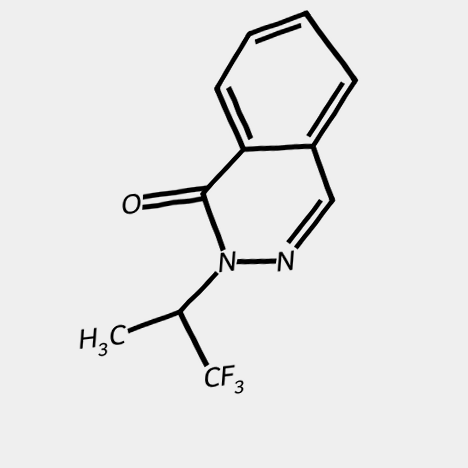 CC(n1ncc2ccccc2c1=O)C(F)(F)F